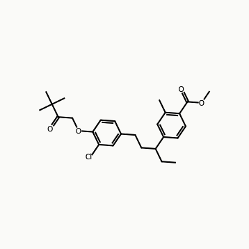 CCC(CCc1ccc(OCC(=O)C(C)(C)C)c(Cl)c1)c1ccc(C(=O)OC)c(C)c1